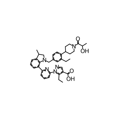 CCc1cc(CN2CC(C)c3cccc(-c4cccc(-n5ncc(C(=O)O)c5CC)n4)c32)ccc1C1CCN(C(=O)C(C)O)CC1